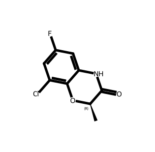 C[C@H]1Oc2c(Cl)cc(F)cc2NC1=O